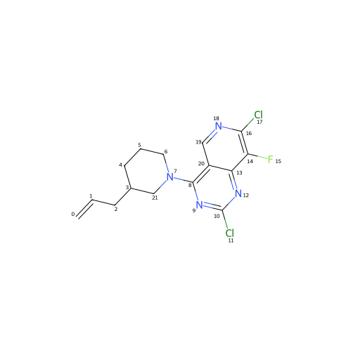 C=CCC1CCCN(c2nc(Cl)nc3c(F)c(Cl)ncc23)C1